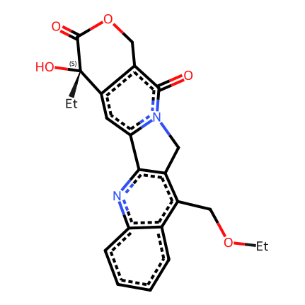 CCOCc1c2c(nc3ccccc13)-c1cc3c(c(=O)n1C2)COC(=O)[C@]3(O)CC